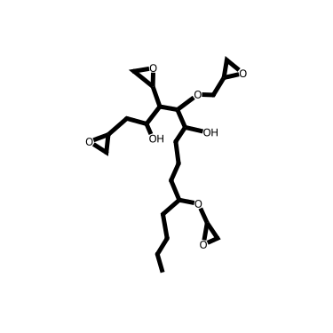 CCCCC(CCCC(O)C(OCC1CO1)C(C(O)CC1CO1)C1CO1)OC1CO1